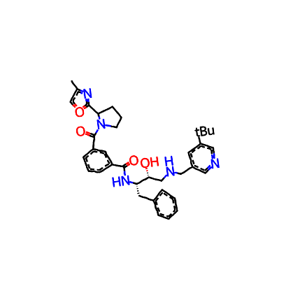 Cc1coc(C2CCCN2C(=O)c2cccc(C(=O)N[C@@H](Cc3ccccc3)[C@H](O)CNCc3cncc(C(C)(C)C)c3)c2)n1